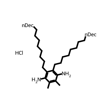 CCCCCCCCCCCCCCCCCCc1c(N)c(C)c(C)c(N)c1CCCCCCCCCCCCCCCCCC.Cl